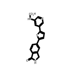 O=C(O)Nc1cncc(-c2ccc(-c3ccc4c(c3)CNC4=O)s2)c1